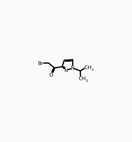 CC(C)n1ccc(C(=O)CBr)n1